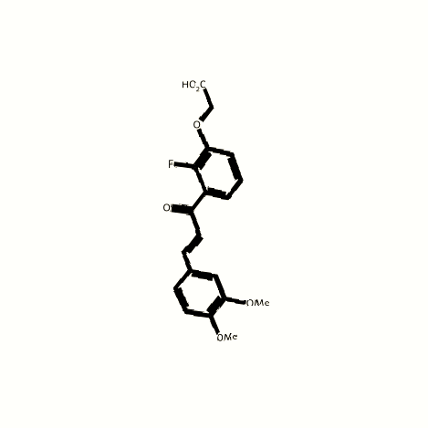 COc1ccc(C=CC(=O)c2cccc(OCC(=O)O)c2F)cc1OC